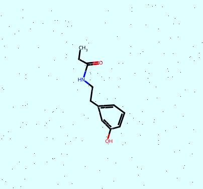 CCC(=O)NCCc1cccc(O)c1